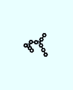 C1=CCCC(C2C=CC(N(C3C=CC(c4cccc(-n5c6ccccc6c6cc7c(cc65)C=CCC7)c4)=CC3)C3CC=C(C4CC=C(c5ccccc5)CC4)CC3)=CC2)=C1